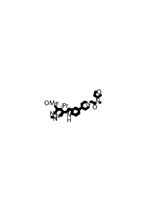 COCc1cc(-c2[nH]c3ccc(C4CCN(CC(=O)N(C)C5CCOC5)CC4)cc3c2C(C)C)cn2ncnc12